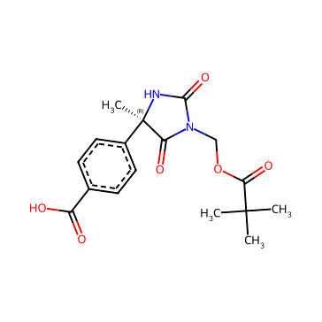 CC(C)(C)C(=O)OCN1C(=O)N[C@](C)(c2ccc(C(=O)O)cc2)C1=O